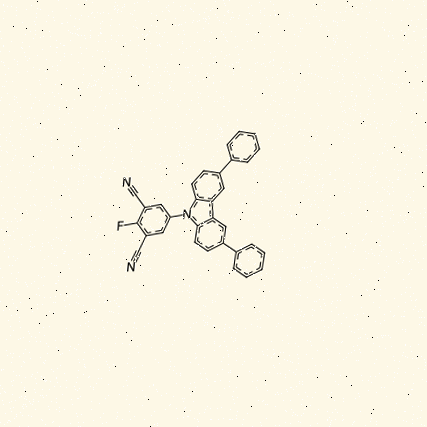 N#Cc1cc(-n2c3ccc(-c4ccccc4)cc3c3cc(-c4ccccc4)ccc32)cc(C#N)c1F